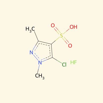 Cc1nn(C)c(Cl)c1S(=O)(=O)O.F